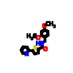 COc1ccc(CNC(=O)C2=CCC(c3ccccn3)S2)c(OC)c1